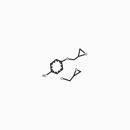 ClCC1CO1.N#Cc1ccc(OCC2CO2)cc1